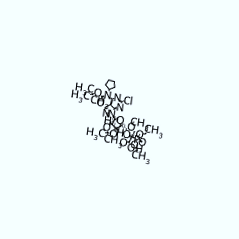 CCOP(=O)(OCC)[C@@](COC)(OC[C@H]1O[C@@H](n2ncc3c(N(C(=O)OC(C)(C)C)C4CCCC4)nc(Cl)nc32)[C@@H]2OC(C)(C)O[C@@H]21)C(=O)O